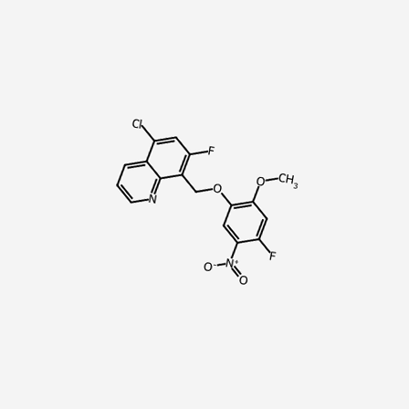 COc1cc(F)c([N+](=O)[O-])cc1OCc1c(F)cc(Cl)c2cccnc12